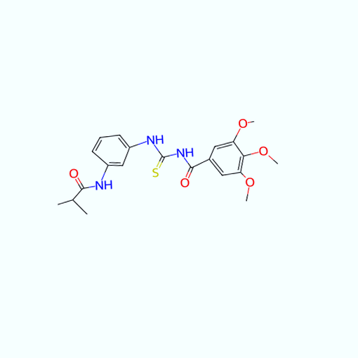 COc1cc(C(=O)NC(=S)Nc2cccc(NC(=O)C(C)C)c2)cc(OC)c1OC